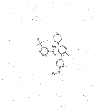 CC1=C(c2ccc(OC(C)C)nc2)CC(NC(=O)c2ccnc(C(C)(C)F)c2)(N2CCOCC2)C=N1